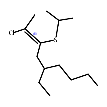 CCCCC(CC)C/C(SC(C)C)=C(/C)Cl